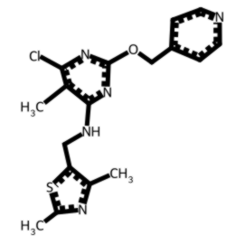 Cc1nc(C)c(CNc2nc(OCc3ccncc3)nc(Cl)c2C)s1